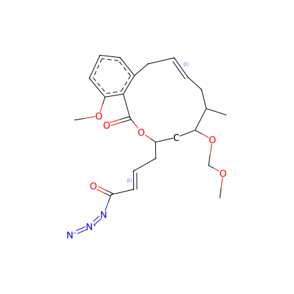 COCOC1CC(C/C=C/C(=O)N=[N+]=[N-])OC(=O)c2c(cccc2OC)C/C=C/CC1C